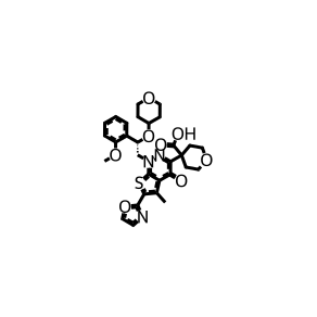 COc1ccccc1[C@@H](Cn1nc(C2(C(=O)O)CCOCC2)c(=O)c2c(C)c(-c3ncco3)sc21)OC1CCOCC1